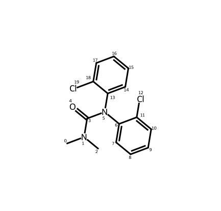 CN(C)C(=O)N(c1ccccc1Cl)c1ccccc1Cl